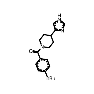 CCCCc1ccc(C(=O)N2CCC(c3c[nH]cn3)CC2)cc1